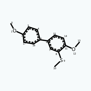 COc1ccc(-c2[c]c(SC)c(OC)cc2)cc1